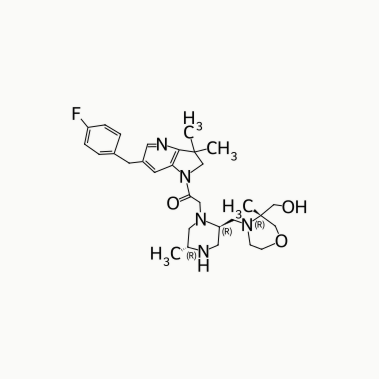 C[C@@H]1CN(CC(=O)N2CC(C)(C)c3ncc(Cc4ccc(F)cc4)cc32)[C@@H](CN2CCOC[C@@]2(C)CO)CN1